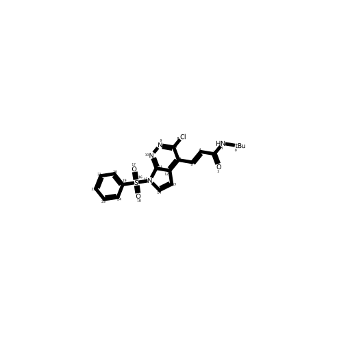 CC(C)(C)NC(=O)C=Cc1c(Cl)nnc2c1ccn2S(=O)(=O)c1ccccc1